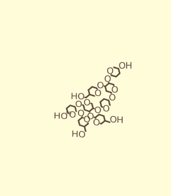 OCC1CCC(OC2CC(OC3CCC(OC4COC(OC5CC[C@H](O)OC5)C(OC5CCC(CO)CO5)C4OC4CCC(CO)CO4)OC3)OCC2OC2CCC(O)CO2)OC1